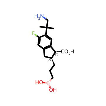 CC(C)(CN)c1cc2c(cc1F)C[C@H](CCCB(O)O)[C@@H]2C(=O)O